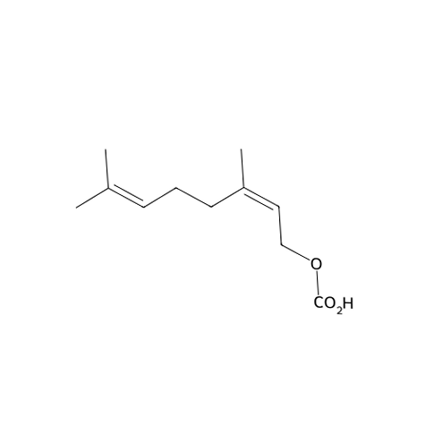 CC(C)=CCC/C(C)=C\COC(=O)O